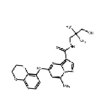 CNc1cc(Nc2ccnc3c2OCCO3)nc2c(C(=O)NCC(C)(C)CO)cnn12